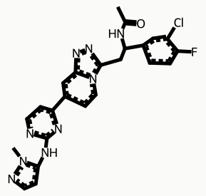 CC(=O)NC(Cc1nnc2cc(-c3ccnc(Nc4ccnn4C)n3)ccn12)c1ccc(F)c(Cl)c1